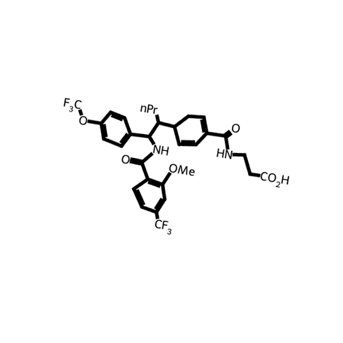 CCCC(C1C=CC(C(=O)NCCC(=O)O)=CC1)C(NC(=O)c1ccc(C(F)(F)F)cc1OC)c1ccc(OC(F)(F)F)cc1